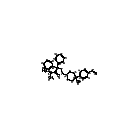 CN(C)C(=O)C(CCN1CCC(O)(c2ccc(CI)cc2)CC1)(c1ccccc1)c1ccccc1